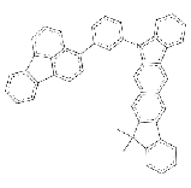 CC1(C)c2ccccc2-c2cc3cc4c5ccccc5n(-c5cccc(-c6ccc7c8c(cccc68)-c6ccccc6-7)c5)c4cc3cc21